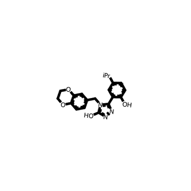 CC(C)c1[c]cc(O)c(-c2nnc(O)n2Cc2ccc3c(c2)OCCO3)c1